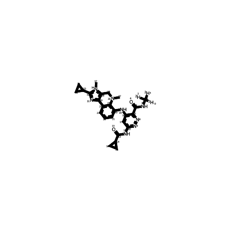 [2H]C([2H])([2H])NC(=O)c1nnc(NC(=O)C2CC2)cc1Nc1cccc2c1N(C)Cc1c-2nc(C2CC2)n1C